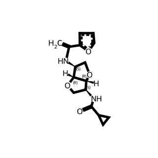 C=C(N[C@H]1CO[C@H]2[C@@H]1OC[C@@H]2NC(=O)C1CC1)c1ccco1